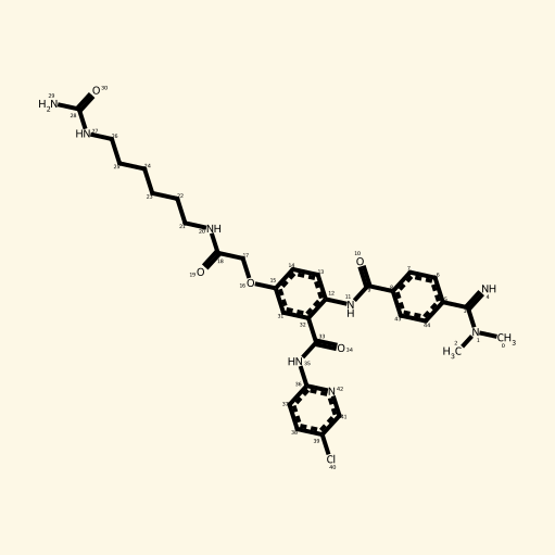 CN(C)C(=N)c1ccc(C(=O)Nc2ccc(OCC(=O)NCCCCCCNC(N)=O)cc2C(=O)Nc2ccc(Cl)cn2)cc1